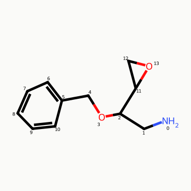 NCC(OCc1ccccc1)C1CO1